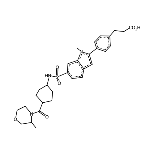 CC1COCCN1C(=O)C1CCC(NS(=O)(=O)c2ccc3cc(-c4ccc(CCC(=O)O)cc4)n(C)c3c2)CC1